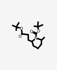 CC1CCCC(CCC(=O)OC(C)(C)C)N1C(=O)OC(C)(C)C